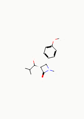 COc1ccc([C@H]2[C@H](C(O)C(C)C)C(=O)N2C)cc1